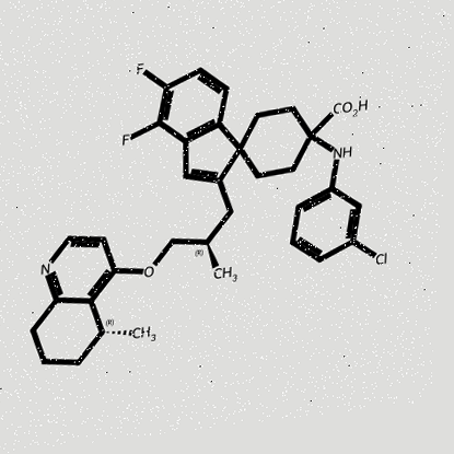 C[C@@H](COc1ccnc2c1[C@H](C)CCC2)CC1=Cc2c(ccc(F)c2F)C12CCC(Nc1cccc(Cl)c1)(C(=O)O)CC2